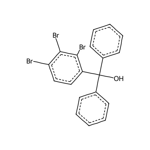 OC(c1ccccc1)(c1ccccc1)c1ccc(Br)c(Br)c1Br